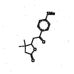 CSc1ccc(C(=O)CC2OC(=O)CC2(C)C)cc1